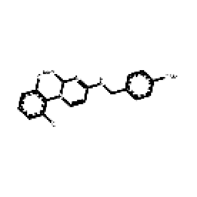 COc1ccc(CNC2=NC(SC)N(c3c(Cl)cccc3Cl)C=C2)cc1